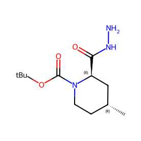 C[C@@H]1CCN(C(=O)OC(C)(C)C)[C@@H](C(=O)NN)C1